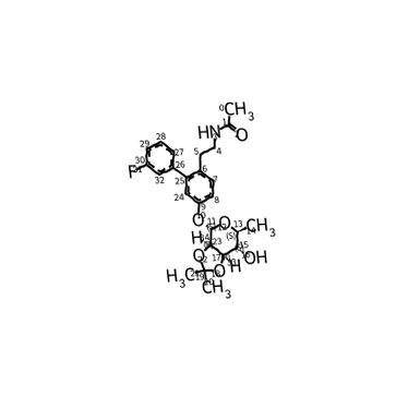 CC(=O)NCCc1ccc(O[C@@H]2O[C@@H](C)[C@H](O)[C@H]3OC(C)(C)O[C@@H]23)cc1-c1cccc(F)c1